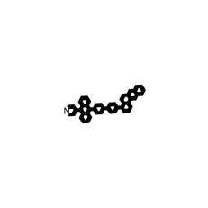 c1ccc2cc3c(ccc4c(-c5ccc(-c6ccc(-c7c8ccccc8c(-c8ccncc8)c8ccccc78)cc6)cc5)cccc43)cc2c1